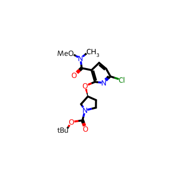 CON(C)C(=O)c1ccc(Cl)nc1O[C@H]1CCN(C(=O)OC(C)(C)C)C1